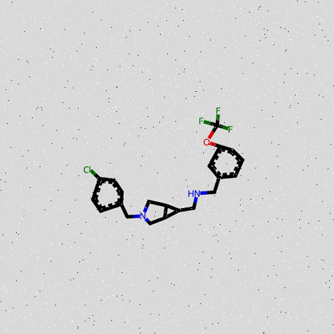 FC(F)(F)Oc1cccc(CNCC2C3CN(Cc4ccc(Cl)cc4)CC23)c1